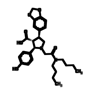 CCCCN(CCCC)C(=O)CN1C[C@H](c2ccc3c(c2)OCO3)[C@@H](C(=O)O)[C@@H]1c1ccc(O)cc1